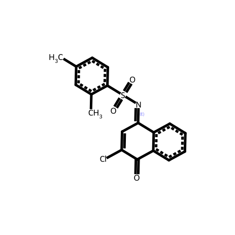 Cc1ccc(S(=O)(=O)/N=C2\C=C(Cl)C(=O)c3ccccc32)c(C)c1